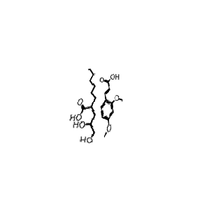 CCCCCCC(CC(O)CO)C(=O)O.COc1ccc(C=CC(=O)O)c(OC)c1